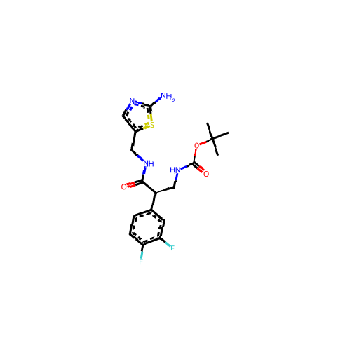 CC(C)(C)OC(=O)NC[C@H](C(=O)NCc1cnc(N)s1)c1ccc(F)c(F)c1